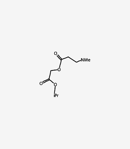 CNCCC(=O)OCC(=O)OC(C)C